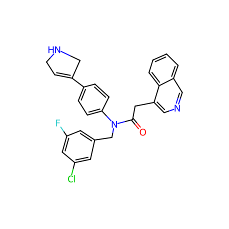 O=C(Cc1cncc2ccccc12)N(Cc1cc(F)cc(Cl)c1)c1ccc(C2=CCNC2)cc1